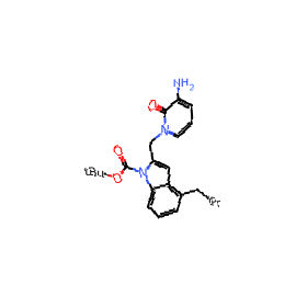 CC(C)Cc1cccc2c1cc(Cn1cccc(N)c1=O)n2C(=O)OC(C)(C)C